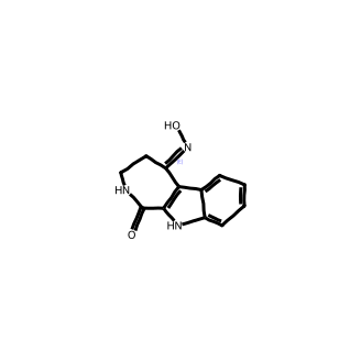 O=C1NCC/C(=N\O)c2c1[nH]c1ccccc21